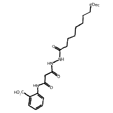 CCCCCCCCCCCCCCCCCC(=O)NNC(=O)CC(=O)Nc1ccccc1C(=O)O